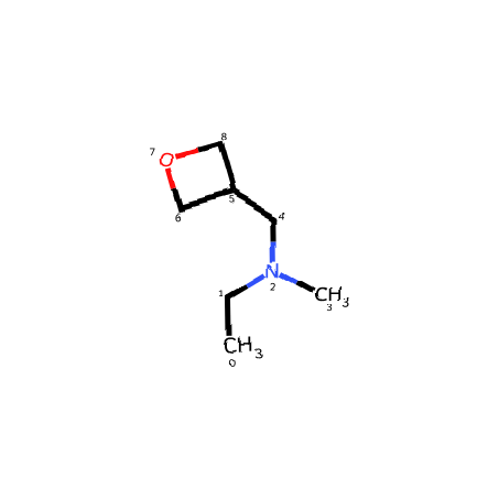 CCN(C)CC1COC1